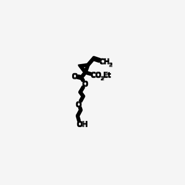 C=CC1CC1(C(=O)OCC)C(=O)OCCOCCO